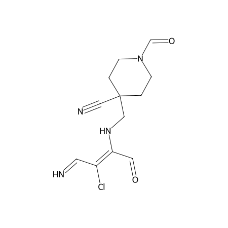 N#CC1(CN/C(C=O)=C(/Cl)C=N)CCN(C=O)CC1